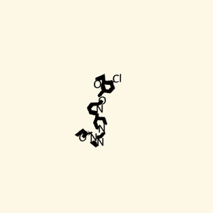 Clc1ccc(COc2cccc(C3CCN(Cc4nccn4C[C@@H]4CCO4)CC3)n2)c2occc12